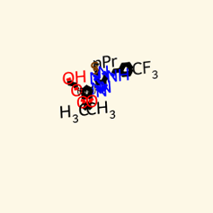 CCCSc1nc(NCc2ccc(C(F)(F)F)cc2)c2nnn([C@H]3C[C@@H](OCCO)C4OC(C)(C)OC43)c2n1